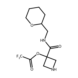 O=C(OC1(C(=O)NCC2CCCCO2)CNC1)C(F)(F)F